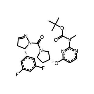 CN(C(=O)OC(C)(C)C)c1nccc(O[C@@H]2CCN(C(=O)N3N=CC[C@H]3c3cc(F)cc(F)c3)C2)n1